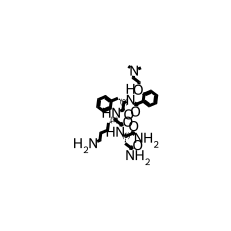 CN(C)CCOc1ccccc1C(=O)N[C@@H](Cc1ccccc1)C(=O)N[C@@H](CCCCN)C(=O)N[C@@H](CC(N)=O)C(N)=O